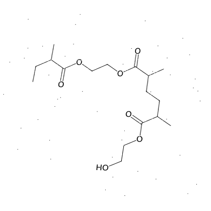 CCC(C)C(=O)OCCOC(=O)C(C)CCC(C)C(=O)OCCO